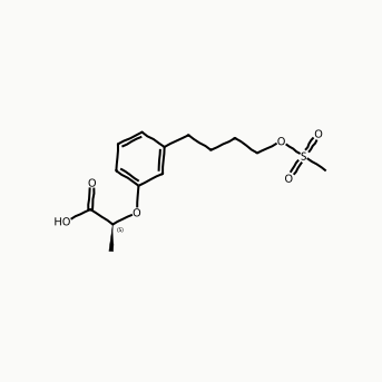 C[C@H](Oc1cccc(CCCCOS(C)(=O)=O)c1)C(=O)O